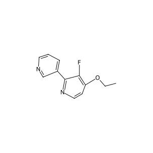 CCOc1ccnc(-c2cccnc2)c1F